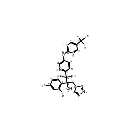 OC(Cn1cnnn1)(c1ccc(F)cc1F)C(F)(F)c1ccc(Oc2ncc(C(F)(F)F)cn2)cn1